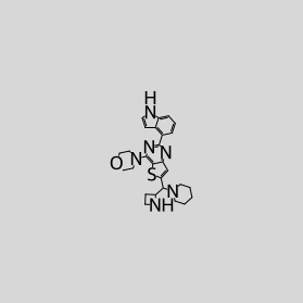 c1cc(-c2nc(N3CCOCC3)c3sc(C(C4CCN4)N4CCCCC4)cc3n2)c2cc[nH]c2c1